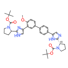 COc1ccc(-c2ccc(-c3cnc([C@@H]4CCCN4C(=O)OC(C)(C)C)[nH]3)cc2)cc1-c1c[nH]c(C2CCCN2C(=O)OC(C)(C)C)n1